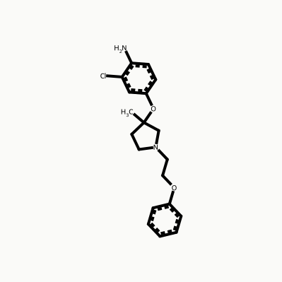 CC1(Oc2ccc(N)c(Cl)c2)CCN(CCOc2ccccc2)C1